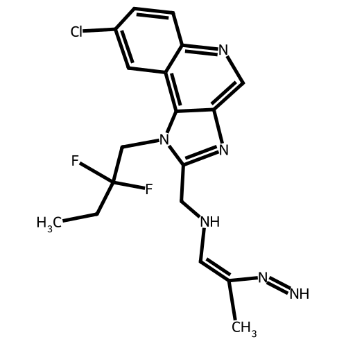 CCC(F)(F)Cn1c(CN/C=C(/C)N=N)nc2cnc3ccc(Cl)cc3c21